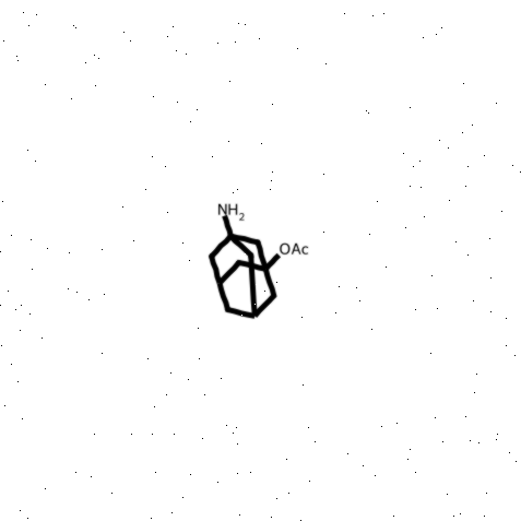 CC(=O)OC12CC3CC(CC(N)(C3)C1)C2